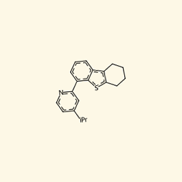 CC(C)c1ccnc(-c2cccc3c4c(sc23)CCCC4)c1